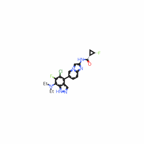 CCN(CC)c1c(F)c(Cl)c(-c2ccc3nc(NC(=O)[C@@H]4C[C@@H]4F)cn3c2)c2cn[nH]c12